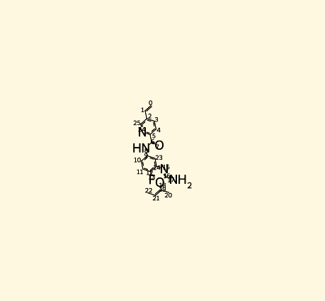 C=Cc1ccc(C(=O)Nc2ccc(F)c(/N=C(/N)O/C(C)=C\C)c2)nc1